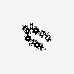 CC(C)(C)OC(=O)N1CCN(c2ccc(Nc3nc(-c4cccc(NC(=O)c5ccc(C(C)(C)C)cc5)c4)cn4ccnc34)cc2)CC1